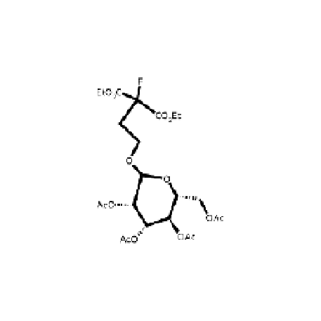 CCOC(=O)C(F)(CCOC1O[C@H](COC(C)=O)[C@@H](OC(C)=O)[C@H](OC(C)=O)[C@@H]1OC(C)=O)C(=O)OCC